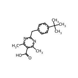 Cc1nc(Cc2ccc(C(C)(C)C)cc2)nc(C)c1C(=O)O